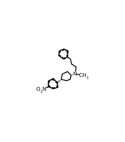 CN(CCCc1ccccc1)[C@H]1CC[C@H](c2ccc([N+](=O)[O-])cc2)CC1